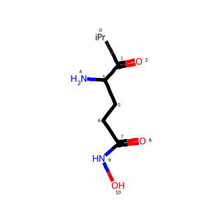 CC(C)C(=O)C(N)CCC(=O)NO